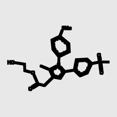 CSc1ccc(-n2c(-c3ccc(S(C)(=O)=O)cc3)cc(CC(=O)OCCO)c2C)cc1